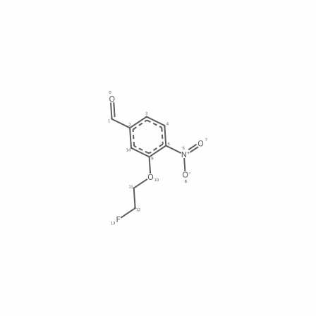 O=Cc1ccc([N+](=O)[O-])c(OCCF)c1